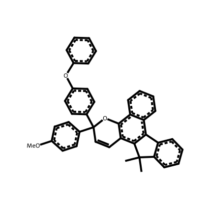 COc1ccc(C2(c3ccc(Oc4ccccc4)cc3)C=Cc3c4c(c5ccccc5c3O2)-c2ccccc2C4(C)C)cc1